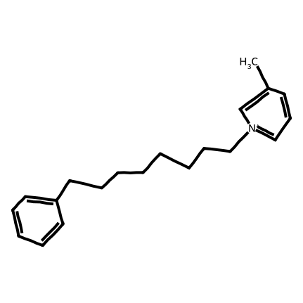 Cc1ccc[n+](CCCCCCCCc2ccccc2)c1